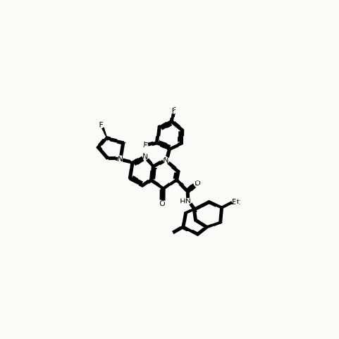 CCC1CC2CC(C)CC(NC(=O)c3cn(-c4ccc(F)cc4F)c4nc(N5CC[C@@H](F)C5)ccc4c3=O)(C1)C2